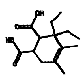 CCC1(CC)C(C)=C(C)CC(C(=O)O)C1C(=O)O